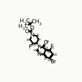 CC(C)(C)OC(=O)N1CC[C@H](n2cnc3cc(Br)cc(F)c3c2=O)[C@@H](F)C1